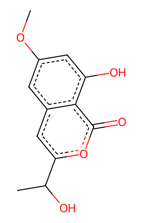 COc1cc(O)c2c(=O)oc(C(C)O)cc2c1